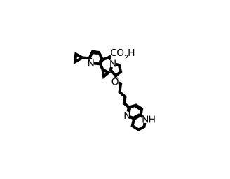 O=C(O)C(c1ccc(C2CC2)nc1C1CC1)N1CC[C@@H](OCCCCc2ccc3c(n2)CCCN3)C1